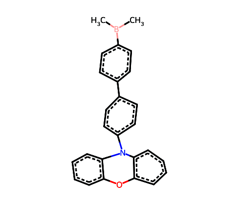 CB(C)c1ccc(-c2ccc(N3c4ccccc4Oc4ccccc43)cc2)cc1